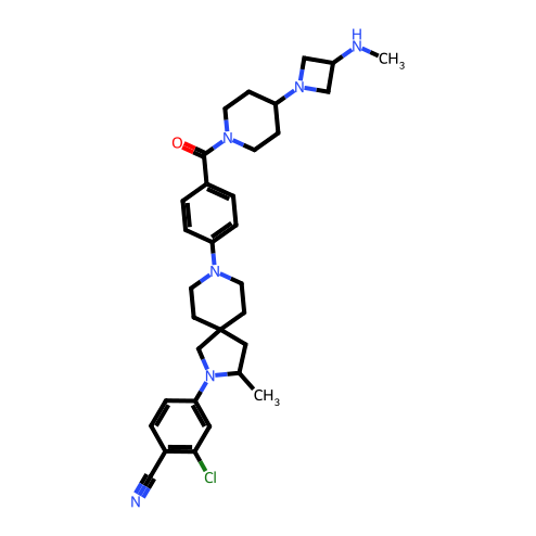 CNC1CN(C2CCN(C(=O)c3ccc(N4CCC5(CC4)CC(C)N(c4ccc(C#N)c(Cl)c4)C5)cc3)CC2)C1